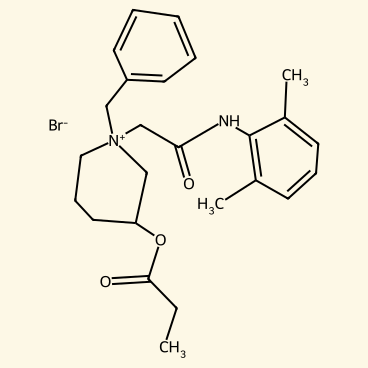 CCC(=O)OC1CCC[N+](CC(=O)Nc2c(C)cccc2C)(Cc2ccccc2)C1.[Br-]